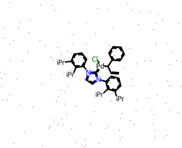 C=C[CH](c1ccccc1)[Pd]([Cl])=[c]1n(-c2cccc(C(C)C)c2C(C)C)ccn1-c1cccc(C(C)C)c1C(C)C